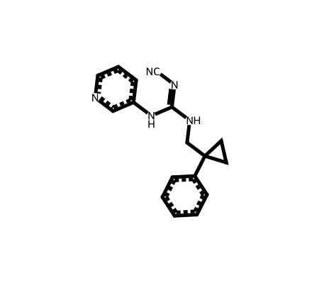 N#C/N=C(/NCC1(c2ccccc2)CC1)Nc1cccnc1